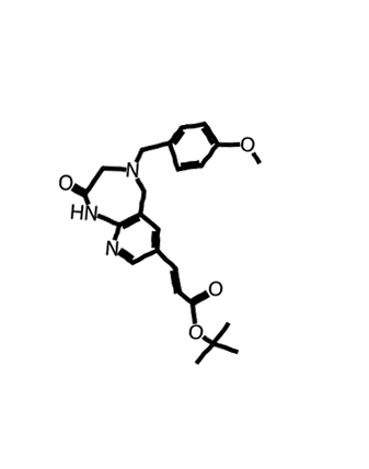 COc1ccc(CN2CC(=O)Nc3ncc(C=CC(=O)OC(C)(C)C)cc3C2)cc1